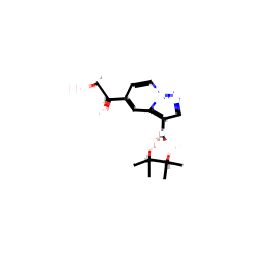 CC1(C)OB(c2cnn3ccc(C(=O)CO)cc23)OC1(C)C